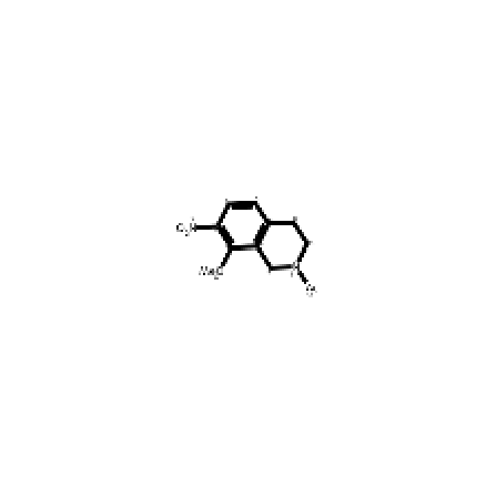 COc1c([N+](=O)[O-])ccc2c1CN(C(C)=O)CC2